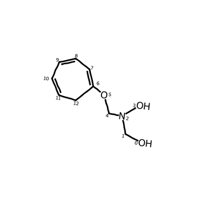 OCN(O)COC1=CC=CC=CC1